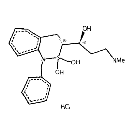 CNCC[C@H](O)[C@H]1Cc2ccccc2N(c2ccccc2)S1(O)O.Cl